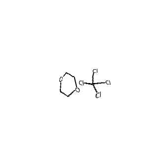 C1COCCO1.ClC(Cl)(Cl)Cl